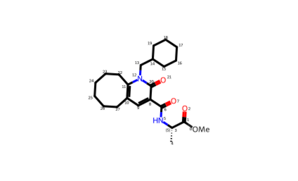 COC(=O)[C@H](C)NC(=O)c1cc2c(n(CC3CCCCC3)c1=O)CCCCCC2